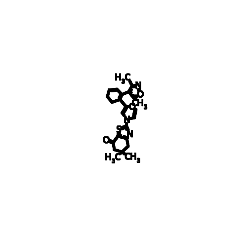 Cc1noc(C)c1C1=C(C2=CN(c3nc4c(s3)C(=O)CC(C)(C)C4)C=CO2)CCC=C1